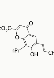 CC=Cc1cc2c(=O)cc(C(=O)OCC)oc2c(CCC)c1O